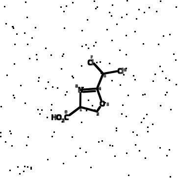 O=C(O)C1COC(C(Cl)Cl)=N1